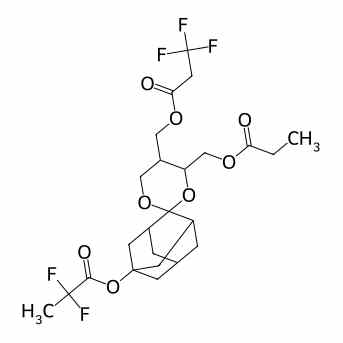 CCC(=O)OCC1OC2(OCC1COC(=O)CC(F)(F)F)C1CC3CC2CC(OC(=O)C(C)(F)F)(C3)C1